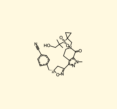 Cn1nc(C2=NO[C@H](Cc3ccc(C#N)cc3)C2)c2c1C(=O)N(CC1(S(=O)(=O)C(C)(C)CO)CC1)CC2